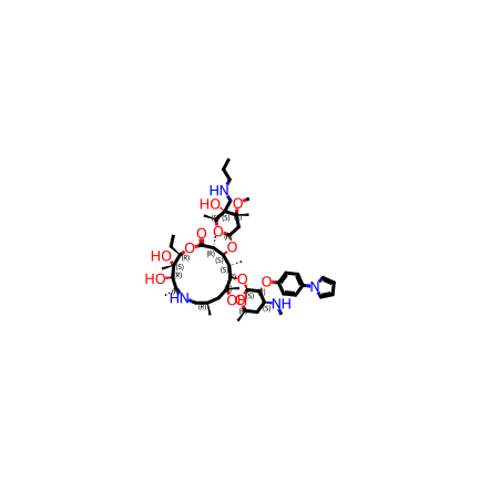 CCCNC[C@]1(O)[C@H](C)O[C@@H](O[C@H]2[C@H](C)[C@@H](O[C@@H]3O[C@H](C)C[C@H](NC)[C@H]3Oc3ccc(-n4cccc4)cc3)[C@](C)(O)C[C@@H](C)CN[C@H](C)[C@@H](O)[C@](C)(O)[C@@H](CC)OC(=O)[C@@H]2C)C[C@@]1(C)OC